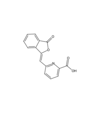 O=C(O)c1cccc(/C=C2\OC(=O)c3ccccc32)n1